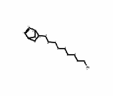 CC(=O)CCCCCCCCCC1CC2C=CC1C2